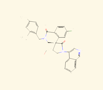 COc1ccc(CN2C[C@]3(C(=O)N(c4cncc5ccccc45)C[C@@H]3CO)c3cc(Cl)ccc3C2=O)c(OC)c1